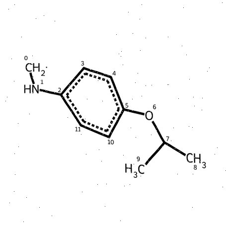 [CH2]Nc1ccc(OC(C)C)cc1